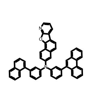 c1cc(-c2cccc3ccccc23)cc(N(c2cccc(-c3cc4ccccc4c4ccccc34)c2)c2ccc3c(ccc4c5cccnc5oc34)c2)c1